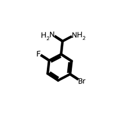 NC(N)c1cc(Br)ccc1F